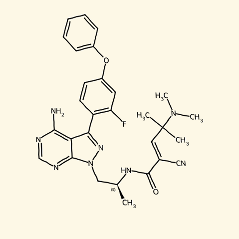 C[C@@H](Cn1nc(-c2ccc(Oc3ccccc3)cc2F)c2c(N)ncnc21)NC(=O)C(C#N)=CC(C)(C)N(C)C